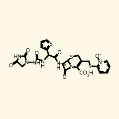 O=C1CN(NC(=O)NC(C(=O)N[C@H]2C(=O)N3C(C(=O)O)=C(CSc4cccc[n+]4[O-])CSC23)c2cccs2)C(=O)N1